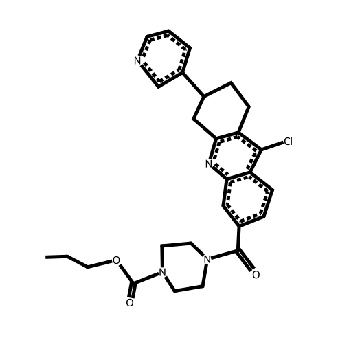 CCCOC(=O)N1CCN(C(=O)c2ccc3c(Cl)c4c(nc3c2)CC(c2cccnc2)CC4)CC1